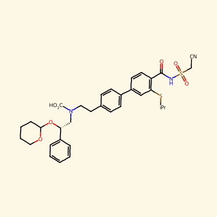 CC(C)Sc1cc(-c2ccc(CCN(C[C@@H](OC3CCCCO3)c3ccccc3)C(=O)O)cc2)ccc1C(=O)NS(=O)(=O)CC#N